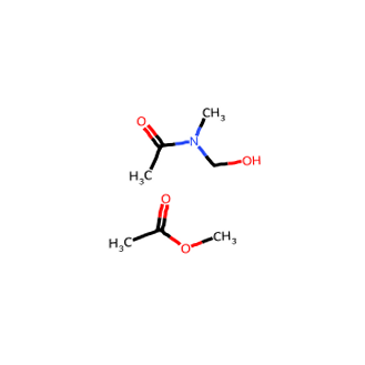 CC(=O)N(C)CO.COC(C)=O